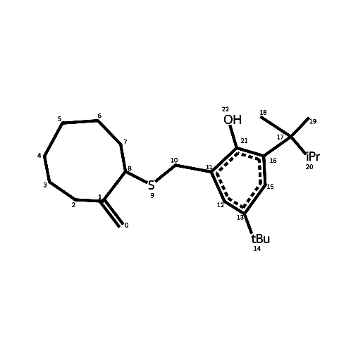 C=C1CCCCCCC1SCc1cc(C(C)(C)C)cc(C(C)(C)C(C)C)c1O